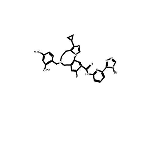 COc1ccc(CN2CCc3c(C4CC4)ncn3-c3cc(C(=O)Nc4cccc(-c5nncn5C(C)C)n4)c(F)cc3C2)c(OC)c1